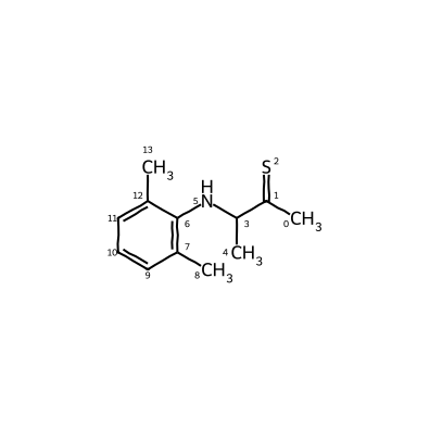 CC(=S)C(C)Nc1c(C)cccc1C